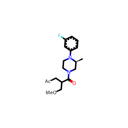 COCC(CC(C)=O)C(=O)N1CCN(c2cccc(F)c2)[C@@H](C)C1